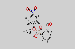 O=Cc1ccccc1S(=O)(=O)Oc1ccc([N+](=O)[O-])cc1.[NaH]